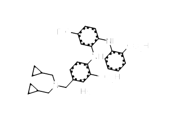 Cl.O=C(O)c1ccccc1Nc1ccc(C(F)(F)F)cc1Nc1ccc(CN(CC2CC2)CC2CC2)cc1C(=O)O